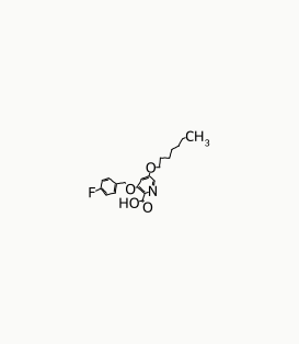 CCCCCCCOc1cnc(C(=O)O)c(OCc2ccc(F)cc2)c1